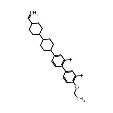 C=CC1CCC(C2CCC(c3ccc(-c4ccc(OCC)c(F)c4)c(F)c3)CC2)CC1